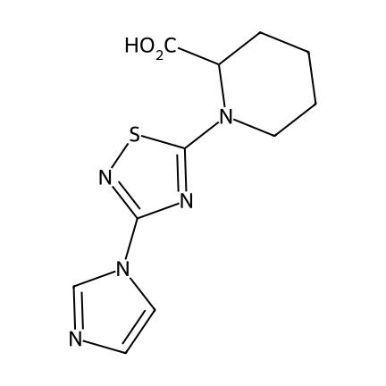 O=C(O)C1CCCCN1c1nc(-n2ccnc2)ns1